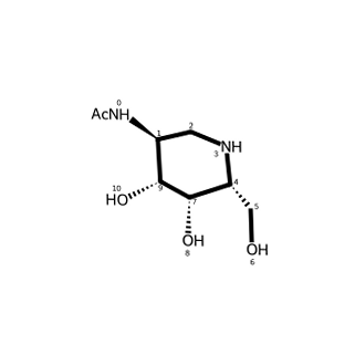 CC(=O)N[C@H]1CN[C@H](CO)[C@H](O)[C@@H]1O